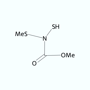 COC(=O)N(S)SC